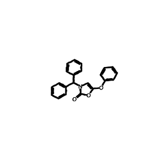 O=c1oc(Oc2ccccc2)cn1C(c1ccccc1)c1ccccc1